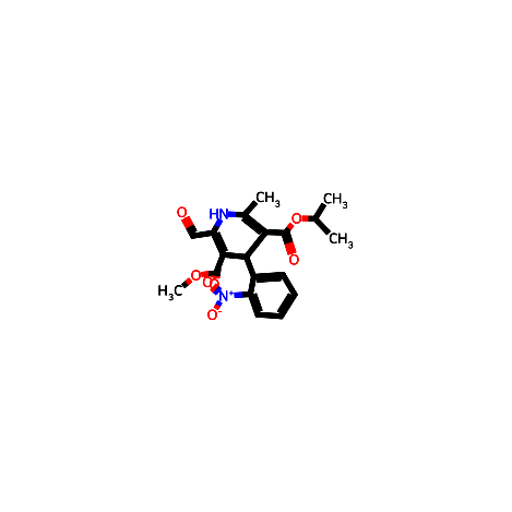 COC(=O)C1=C(C=O)NC(C)=C(C(=O)OC(C)C)C1c1ccccc1[N+](=O)[O-]